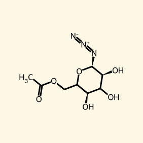 CC(=O)OCC1O[C@@H](N=[N+]=[N-])[C@@H](O)C(O)[C@H]1O